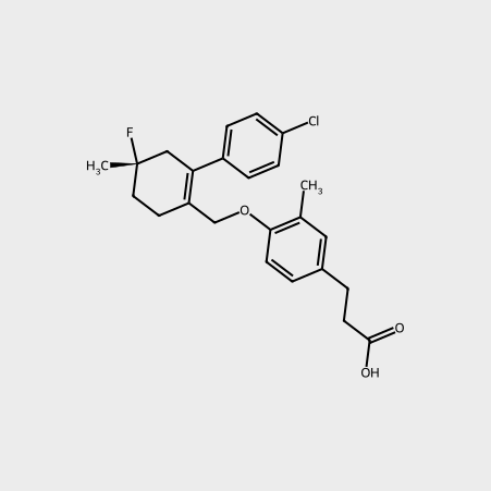 Cc1cc(CCC(=O)O)ccc1OCC1=C(c2ccc(Cl)cc2)C[C@@](C)(F)CC1